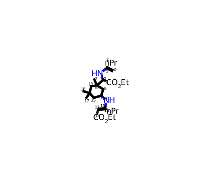 C=C(CCC)NC(C(=O)OCC)C1(C)CC(NC(=CC(=O)OCC)CCC)CC(C)(C)C1